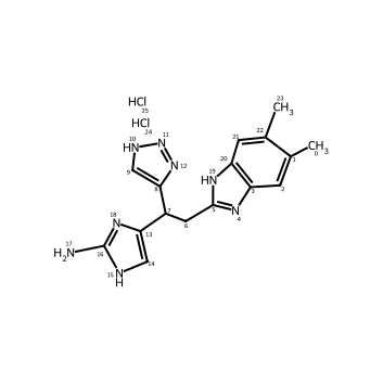 Cc1cc2nc(CC(c3c[nH]nn3)c3c[nH]c(N)n3)[nH]c2cc1C.Cl.Cl